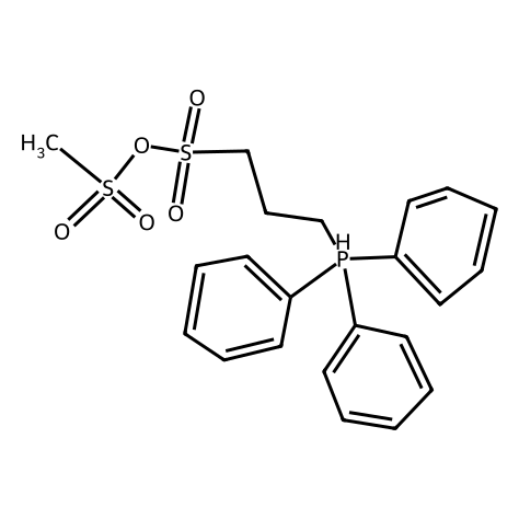 CS(=O)(=O)OS(=O)(=O)CCC[PH](c1ccccc1)(c1ccccc1)c1ccccc1